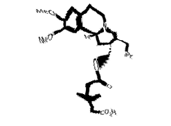 COc1cc2c(cc1OC)[C@H]1C[C@@H](COC(=O)CC(C)(C)CC(=O)O)[C@H](CC(C)C)CN1CC2